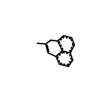 CC1=Cc2[c]ccc3cccc(c23)[CH]1